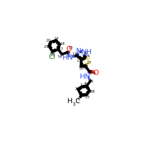 Cc1ccc(CNC(=O)c2cc3c(NC(=O)Cc4ccccc4Cl)n[nH]c3s2)cc1